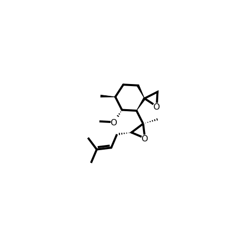 CO[C@@H]1[C@@H](C)CC[C@]2(CO2)[C@H]1[C@@]1(C)O[C@@H]1CC=C(C)C